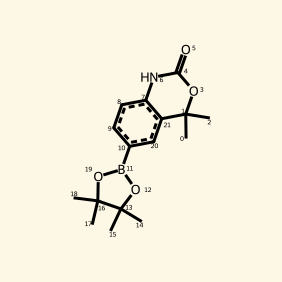 CC1(C)OC(=O)Nc2ccc(B3OC(C)(C)C(C)(C)O3)cc21